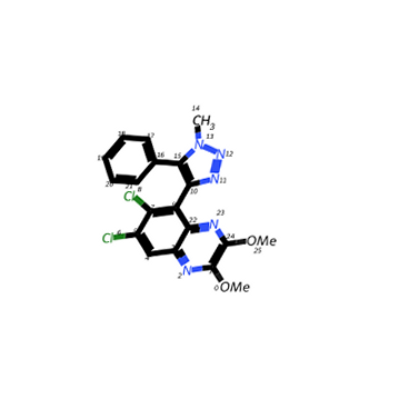 COc1nc2cc(Cl)c(Cl)c(-c3nnn(C)c3-c3ccccc3)c2nc1OC